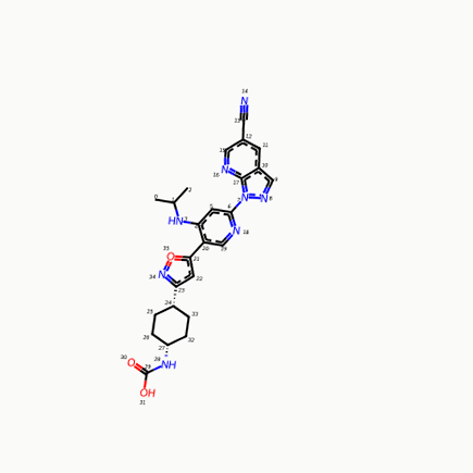 CC(C)Nc1cc(-n2ncc3cc(C#N)cnc32)ncc1-c1cc([C@H]2CC[C@@H](NC(=O)O)CC2)no1